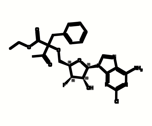 CCOC(=O)C(Cc1ccccc1)(OC[C@H]1O[C@@H](n2cnc3c(N)nc(Cl)nc32)[C@H](O)[C@@H]1F)C(C)=O